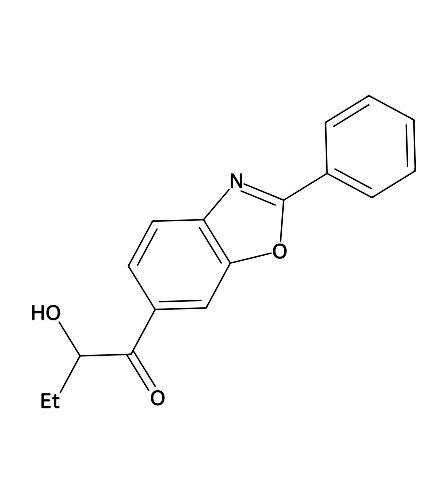 CCC(O)C(=O)c1ccc2nc(-c3ccccc3)oc2c1